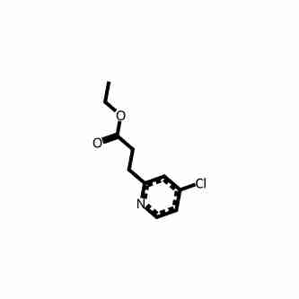 CCOC(=O)CCc1cc(Cl)ccn1